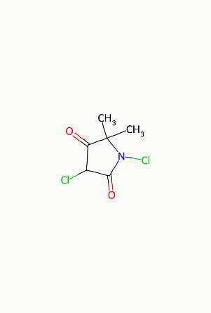 CC1(C)C(=O)C(Cl)C(=O)N1Cl